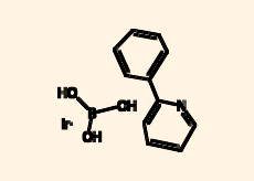 OB(O)O.[Ir].c1ccc(-c2ccccn2)cc1